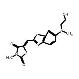 CN1C(=O)S/C(=C\c2nc3ccc(N(C)CCO)cc3s2)C1=O